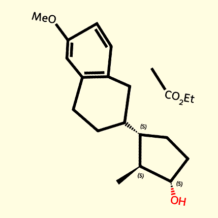 CCOC(C)=O.COc1ccc2c(c1)CCC([C@@H]1CC[C@H](O)[C@H]1C)C2